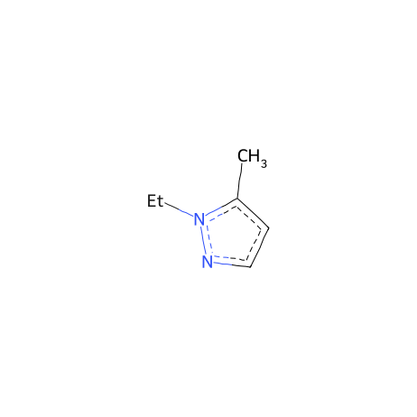 CCn1nccc1C